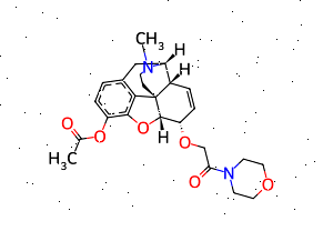 CC(=O)Oc1ccc2c3c1O[C@H]1[C@@H](OCC(=O)N4CCOCC4)C=C[C@H]4[C@@H](C2)N(C)CC[C@@]341